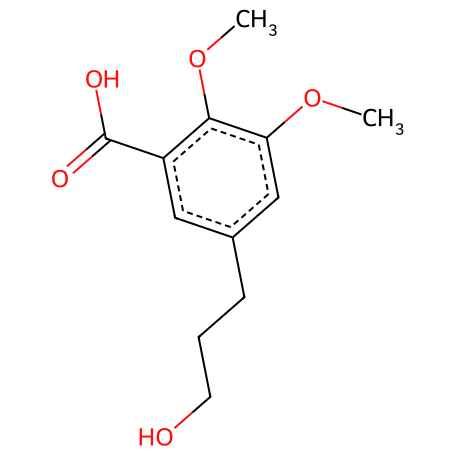 COc1cc(CCCO)cc(C(=O)O)c1OC